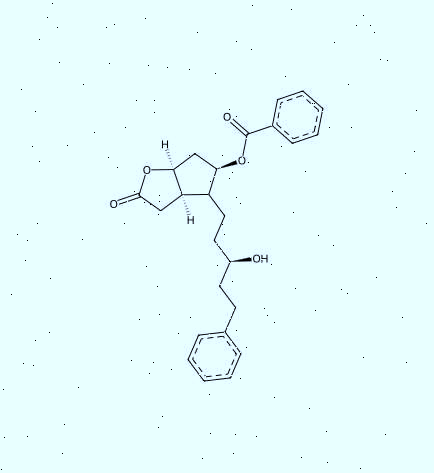 O=C1C[C@@H]2C(CC[C@@H](O)CCc3ccccc3)[C@H](OC(=O)c3ccccc3)C[C@@H]2O1